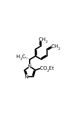 C=C/C=C\C(=C/C=C)[C@@H](C)n1cncc1C(=O)OCC